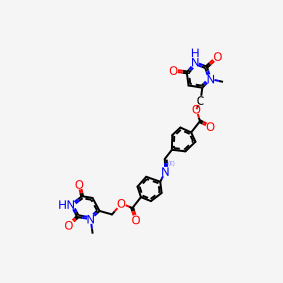 Cn1c(COC(=O)c2ccc(/C=N/c3ccc(C(=O)OCc4cc(=O)[nH]c(=O)n4C)cc3)cc2)cc(=O)[nH]c1=O